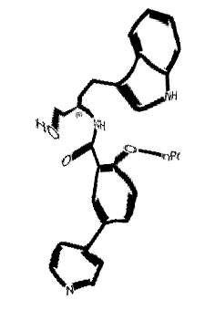 CCCOc1ccc(-c2ccncc2)cc1C(=O)N[C@@H](CO)Cc1c[nH]c2ccccc12